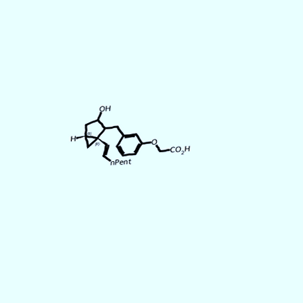 CCCCCC=C[C@@]12C[C@@H]1CC(O)C2Cc1cccc(OCC(=O)O)c1